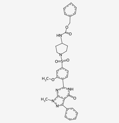 COc1cc(S(=O)(=O)N2CCC(NC(=O)OCc3ccccc3)CC2)ccc1-c1nc2c(c(-c3ccccc3)nn2C)c(=O)[nH]1